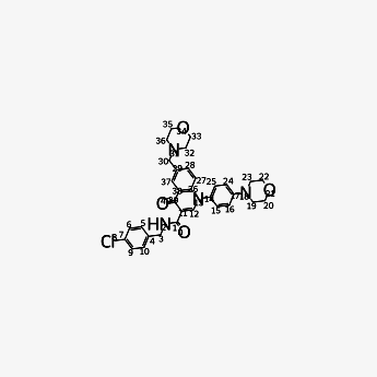 O=C(NCc1ccc(Cl)cc1)c1cn(-c2ccc(N3CCOCC3)cc2)c2ccc(CN3CCOCC3)cc2c1=O